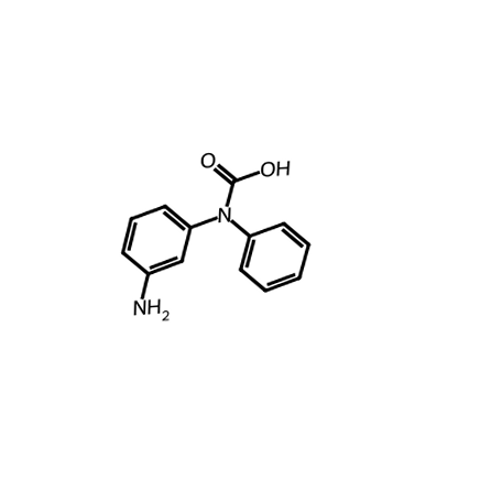 Nc1cccc(N(C(=O)O)c2ccccc2)c1